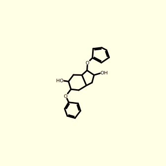 OC1CC2C(CC(O)C2Oc2ccccc2)CC1Oc1ccccc1